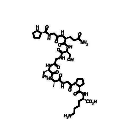 CC(C)C[C@H](NC(=O)CNC(=O)[C@H](CO)NC(=O)[C@H](CCC(N)=O)NC(=O)CNC(=O)[C@@H]1CCCN1)C(=O)N[C@@H](C)C(=O)NCC(=O)N1CCC[C@H]1C(=O)N[C@@H](CCCCN)C(=O)O